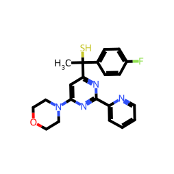 CC(S)(c1ccc(F)cc1)c1cc(N2CCOCC2)nc(-c2ccccn2)n1